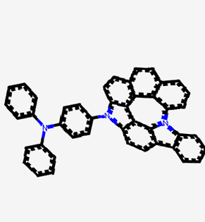 c1ccc(N(c2ccccc2)c2ccc(-n3c4ccc5ccc6cccc7c6c5c4c4c3ccc3c5ccccc5n7c34)cc2)cc1